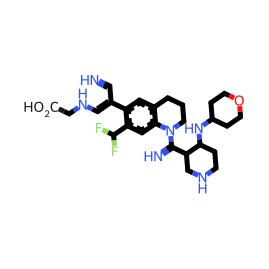 N=C/C(=C\NCC(=O)O)c1cc2c(cc1C(F)F)N(C(=N)C1CNCCC1NC1CCOCC1)CCC2